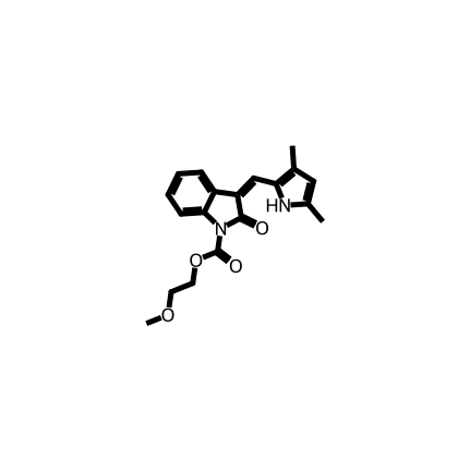 COCCOC(=O)N1C(=O)/C(=C\c2[nH]c(C)cc2C)c2ccccc21